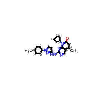 Cc1ccc(-n2ccc(Nc3ncc4c(C)cc(=O)n(C5CCCC5)c4n3)n2)cc1